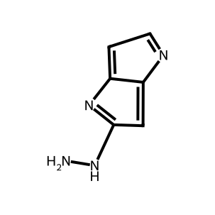 NNC1=NC2=CC=NC2=C1